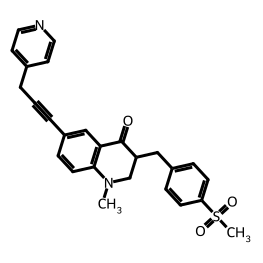 CN1CC(Cc2ccc(S(C)(=O)=O)cc2)C(=O)c2cc(C#CCc3ccncc3)ccc21